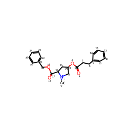 CC(=O)N1C[C@H](OC(=O)CCc2ccccc2)CC1C(=O)OCc1ccccc1